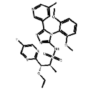 CCO[C@H](c1ncc(F)cn1)[C@H](C)S(=O)(=O)Nc1nnc(-c2cncc(C)c2)n1-c1c(OC)cccc1OC